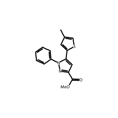 COC(=O)c1cc(-c2cc(C)cs2)n(-c2ccccc2)n1